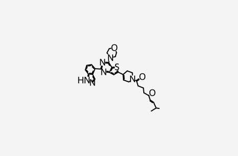 CC(C)/C=C/C(=O)CCCC(=O)N1CC=C(c2cc3nc(-c4cccc5[nH]ncc45)nc(N4CCOCC4)c3s2)CC1